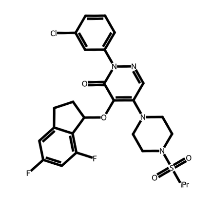 CC(C)S(=O)(=O)N1CCN(c2cnn(-c3cccc(Cl)c3)c(=O)c2OC2CCc3cc(F)cc(F)c32)CC1